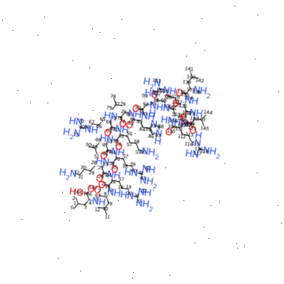 CC(C)C[C@H](NC(=O)[C@H](CC(C)C)NC(=O)[C@H](CCCNC(=N)N)NC(=O)[C@H](CCCCN)NC(=O)[C@H](CCCNC(=N)N)NC(=O)[C@H](CC(C)C)NC(=O)[C@H](CCCCN)NC(=O)[C@H](CCCNC(=N)N)NC(=O)[C@H](CC(C)C)NC(=O)[C@H](Cc1c[nH]cn1)NC(=O)[C@H](C)NC(=O)[C@H](C)NC(=O)[C@H](CC(C)C)NC(=O)[C@H](CCCNC(=N)N)NC(=O)[C@@H](NC(=O)[C@H](CCCNC(=N)N)NC(=O)[C@@H](N)CC(C)C)C(C)C)C(=O)O